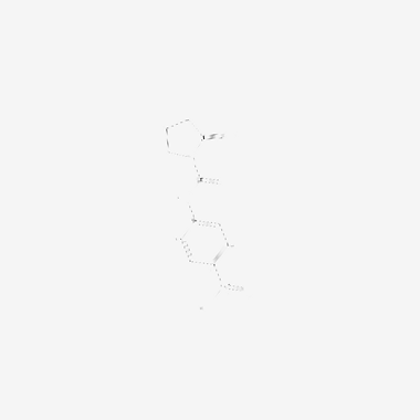 O=C1CCCN1C(=O)Oc1ccc([N+](=O)[O-])cc1